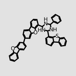 c1ccc(C2NC(c3cccc4c3oc3cc(-c5ccc6c(c5)oc5ccccc56)ccc34)NC(c3cccc4c3sc3ccccc34)N2)cc1